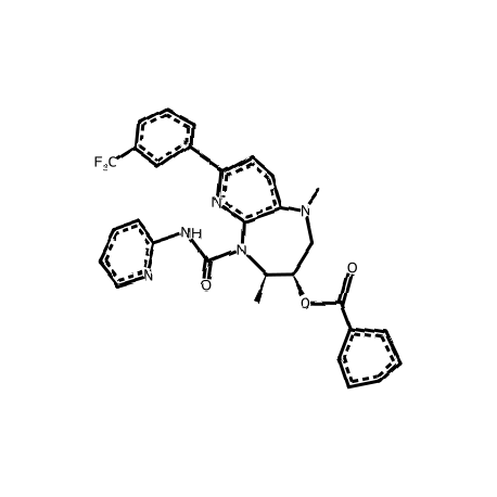 C[C@@H]1[C@H](OC(=O)c2ccccc2)CN(C)c2ccc(-c3cccc(C(F)(F)F)c3)nc2N1C(=O)Nc1ccccn1